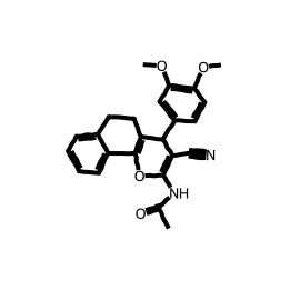 COc1ccc(C2C(C#N)=C(NC(C)=O)OC3=C2CCc2ccccc23)cc1OC